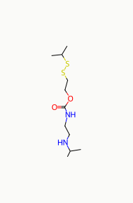 CC(C)NCCNC(=O)OCCSSC(C)C